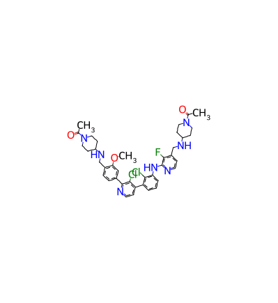 COc1cc(-c2nccc(-c3cccc(Nc4nccc(CNC5CCN(C(C)=O)CC5)c4F)c3Cl)c2Cl)ccc1CNC1CCN(C(C)=O)CC1